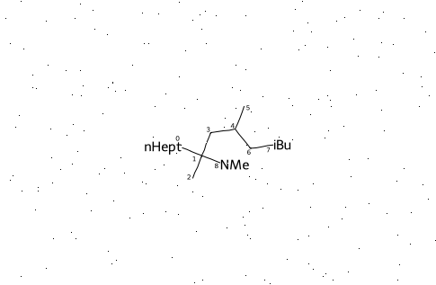 CCCCCCCC(C)(CC(C)CC(C)CC)NC